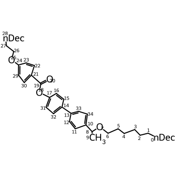 CCCCCCCCCCCCCCCCOC(C)c1ccc(-c2ccc(OC(=O)c3ccc(OCCCCCCCCCCCC)cc3)cc2)cc1